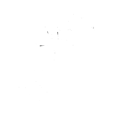 CCC1(C)CC(C)C(C)(C)C1OC(=O)OC[C@H]1O[C@@](C#N)(c2ccc3c(N)ncnn23)[C@H](O)[C@@H]1O